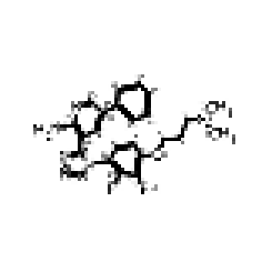 CN(C)CCCOc1ccc(-n2nnnc2-c2cc(-c3ccccc3)cnc2N)c(F)c1F